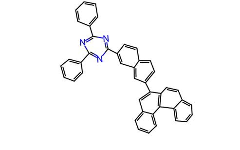 c1ccc(-c2nc(-c3ccccc3)nc(-c3ccc4ccc(-c5cc6ccccc6c6c5ccc5ccccc56)cc4c3)n2)cc1